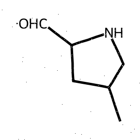 CC1CNC([C]=O)C1